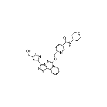 O=C(NC1CCOCC1)c1ccc(COc2nn3c(-c4cc(CO)on4)nnc3c3ccccc23)nc1